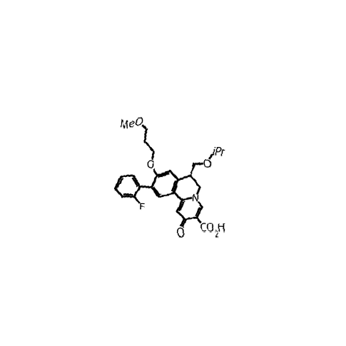 COCCCOc1cc2c(cc1-c1ccccc1F)-c1cc(=O)c(C(=O)O)cn1C[C@@H]2COC(C)C